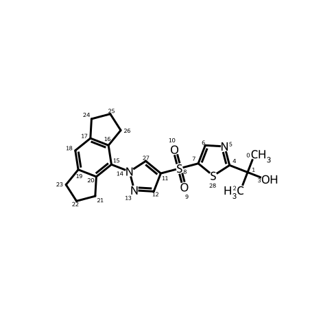 CC(C)(O)c1ncc(S(=O)(=O)c2cnn(-c3c4c(cc5c3CCC5)CCC4)c2)s1